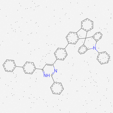 N=C(/C=C(\N=C\c1ccccc1)c1ccc(-c2ccc3c(c2)C2(c4ccccc4-3)c3ccccc3N(c3ccccc3)c3ccccc32)cc1)c1ccc(-c2ccccc2)cc1